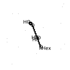 CCCCCCOCCCCCCNC(=O)NCCCCCCCCCCOc1ccc(O)cc1